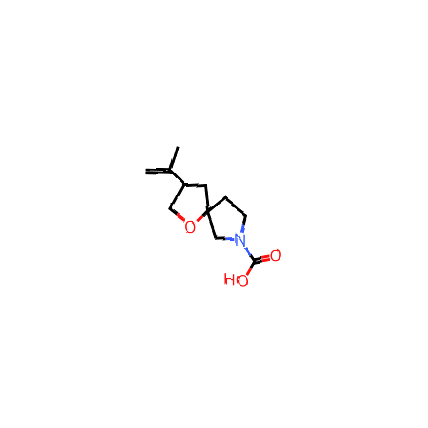 C=C(C)C1COC2(CCN(C(=O)O)C2)C1